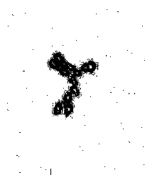 c1ccc(-n2c3ccccc3c3cc(-c4cccc(-c5ccc(N(c6ccc(-c7ccc8ccccc8c7)cc6)c6ccc7c(c6)C6(c8ccccc8-c8ccccc86)c6ccccc6-7)cc5)c4)ccc32)cc1